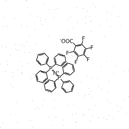 O=C([O-])c1c(F)c(F)c(F)c(F)c1F.c1ccc(P(=[N+]=P(c2ccccc2)(c2ccccc2)c2ccccc2)(c2ccccc2)c2ccccc2)cc1